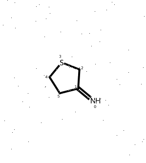 N=C1[CH]SCC1